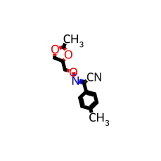 Cc1ccc(C(C#N)=NOCC2COC(C)O2)cc1